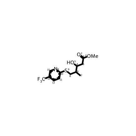 COC(=O)CC(O)C(C)CSc1ccc(C(F)(F)F)cn1